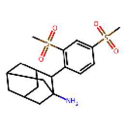 CS(=O)(=O)c1ccc(C2C3CC4CC(C3)CC2(N)C4)c(S(C)(=O)=O)c1